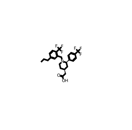 CCCc1ccc(C(F)(F)F)c(CN2CC[C@H](CC(=O)O)C[C@@H]2c2ccc(C(F)(F)F)cc2)c1